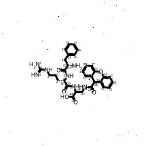 N=C(N)NCCC[C@H](NC(=O)[C@@H](N)Cc1ccccc1)C(=O)NC(CNC(=O)C1c2ccccc2Oc2ccccc21)C(=O)O